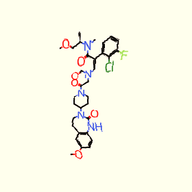 COC[C@@H](C)N(C)C(=O)/C(=C\N(C=O)CC(=O)N1CCC(N2CCc3cc(OC)ccc3NC2=O)CC1)c1cccc(F)c1Cl